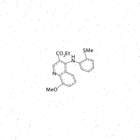 CCOC(=O)c1cnc2c(OC)cccc2c1Nc1ccccc1SC